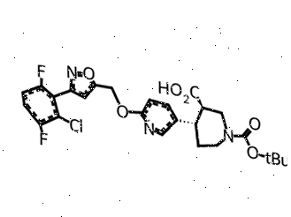 CC(C)(C)OC(=O)N1CC[C@H](c2ccc(OCc3cc(-c4c(F)ccc(F)c4Cl)no3)nc2)[C@@H](C(=O)O)C1